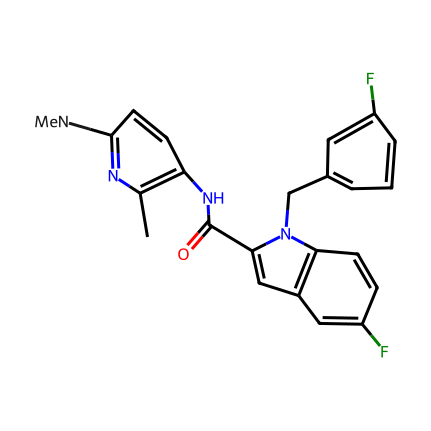 CNc1ccc(NC(=O)c2cc3cc(F)ccc3n2Cc2cccc(F)c2)c(C)n1